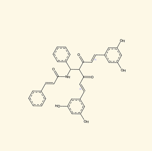 O=C(C=Cc1ccccc1)NC(c1ccccc1)C(C(=O)/C=C/c1cc(O)cc(O)c1)C(=O)/C=C/c1cc(O)cc(O)c1